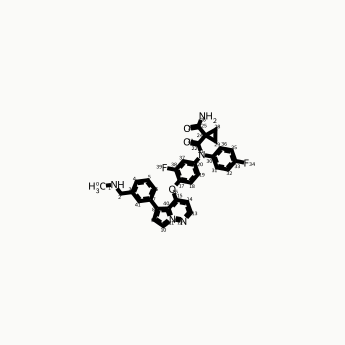 CNCc1cccc(-c2ccn3nccc(Oc4ccc(N(C(=O)C5(C(N)=O)CC5)c5ccc(F)cc5)cc4F)c23)c1